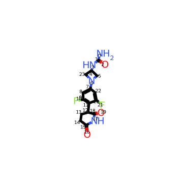 NC(=O)NC1CN(c2cc(F)c(C3CCC(=O)NC3=O)c(F)c2)C1